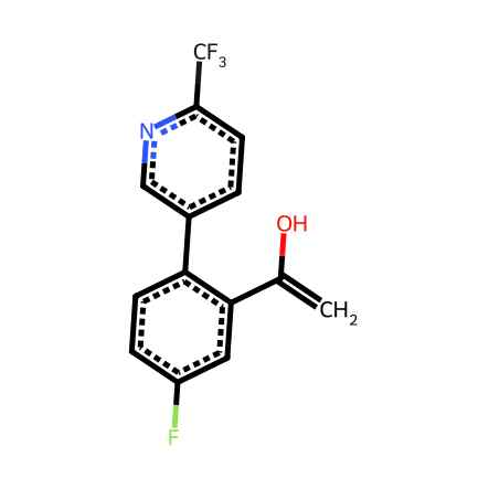 C=C(O)c1cc(F)ccc1-c1ccc(C(F)(F)F)nc1